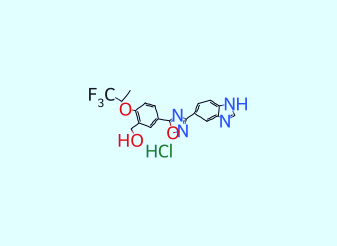 CC(Oc1ccc(-c2nc(-c3ccc4[nH]cnc4c3)no2)cc1CO)C(F)(F)F.Cl